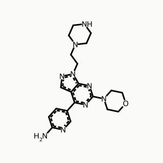 Nc1ccc(-c2nc(N3CCOCC3)nc3c2cnn3CCN2CCNCC2)cn1